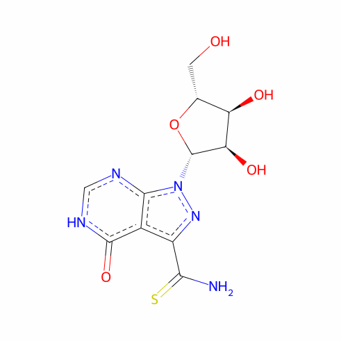 NC(=S)c1nn([C@@H]2O[C@H](CO)[C@@H](O)[C@H]2O)c2nc[nH]c(=O)c12